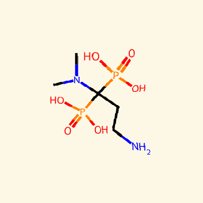 CN(C)C(CCN)(P(=O)(O)O)P(=O)(O)O